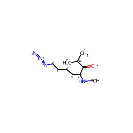 CN[C@@H](CCCCN=[N+]=[N-])C(=O)C(C)C